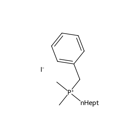 CCCCCCC[P+](C)(C)Cc1ccccc1.[I-]